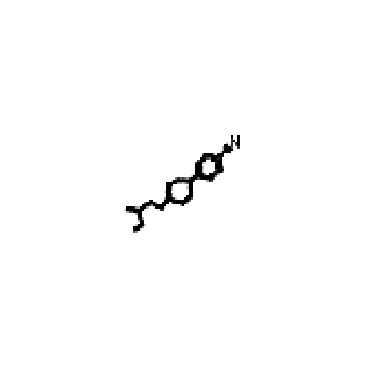 CCC(C)CCC1CCC(c2ccc(C#N)cc2)CC1